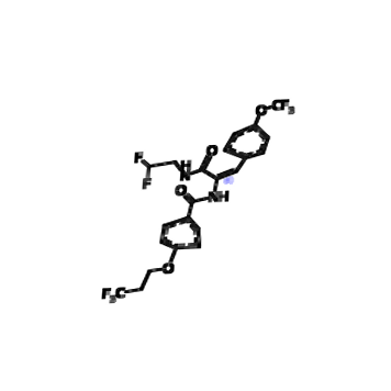 O=C(NCC(F)F)/C(=C\c1ccc(OC(F)(F)F)cc1)NC(=O)c1ccc(OCCC(F)(F)F)cc1